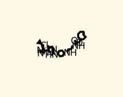 Cn1ncc(-c2nc(NC3CCC(NCCCNC(=O)OC4CC/C=C/CCC4)CC3)ncc2Cl)c1CC1CC1